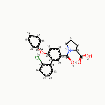 O=C(O)C1CCCN1C(=O)c1ccc(Oc2ccccc2)c(-c2ccccc2Cl)c1